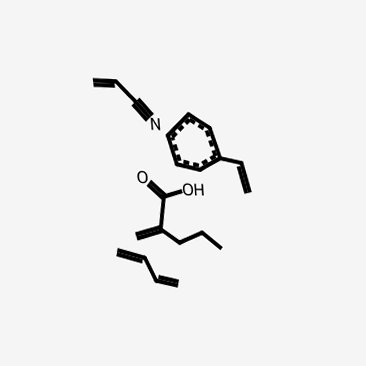 C=C(CCC)C(=O)O.C=CC#N.C=CC=C.C=Cc1ccccc1